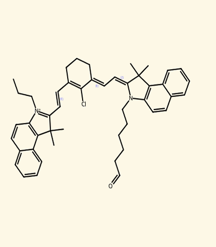 CCC[N+]1=C(/C=C/C2=C(Cl)C(=C/C=C3\N(CCCCCC=O)c4ccc5ccccc5c4C3(C)C)/CCC2)C(C)(C)c2c1ccc1ccccc21